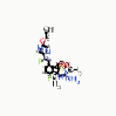 C#CCOc1cnc(/C(F)=C/c2ccc(F)c([C@@]3(C)N=C(N)N(C)S(=O)(=O)C34CC4)c2)cn1